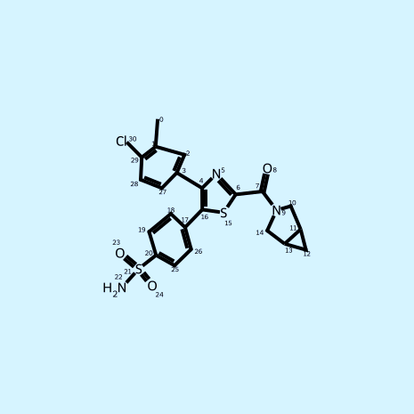 Cc1cc(-c2nc(C(=O)N3CC4CC4C3)sc2-c2ccc(S(N)(=O)=O)cc2)ccc1Cl